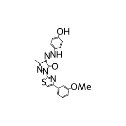 COc1cccc(-c2csc(N3N=C(C)C(=NNc4ccc(O)cc4)C3=O)n2)c1